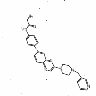 CC(C)CC(=O)Nc1ccc(-c2ccc3ncc(N4CCN(Cc5cccnc5)CC4)nc3c2)cc1